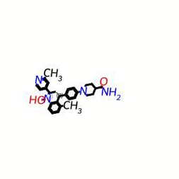 Cc1cc(/C(C[C@H](c2ccc(N3CCC(C(N)=O)CC3)cc2)c2ccccc2C)=N\O)ccn1